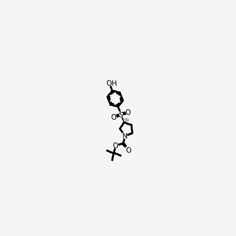 CC(C)(C)OC(=O)N1CC[C@H](S(=O)(=O)c2ccc(O)cc2)C1